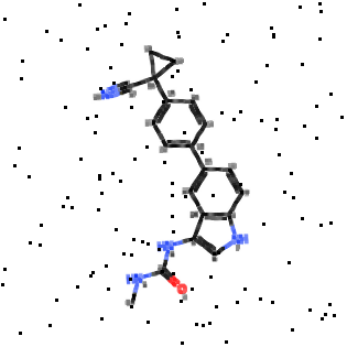 CNC(=O)Nc1c[nH]c2ccc(-c3ccc(C4(C#N)CC4)cc3)cc12